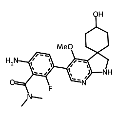 COc1c(-c2ccc(N)c(C(=O)N(C)C)c2F)cnc2c1C1(CCC(O)CC1)CN2